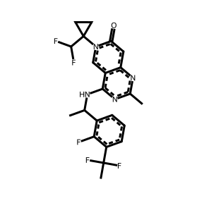 Cc1nc(NC(C)c2cccc(C(C)(F)F)c2F)c2cn(C3(C(F)F)CC3)c(=O)cc2n1